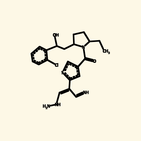 CCC1CCC(CC(O)c2ccccc2Cl)N1C(=O)c1csc(/C(C=N)=C/NN)c1